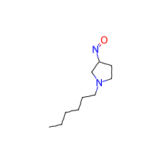 CCCCCCN1CCC(N=O)C1